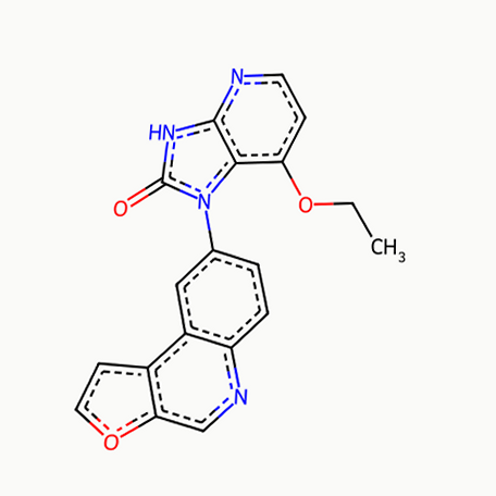 CCOc1ccnc2[nH]c(=O)n(-c3ccc4ncc5occc5c4c3)c12